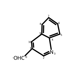 O=[C]c1cnc2ccccc2c1